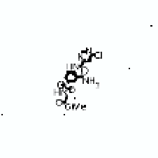 COC(=O)CNS(=O)(=O)c1ccc(NC(=O)c2cc(Cl)ncn2)c(CN)c1